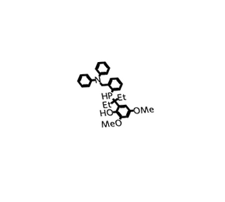 CCC(CC)(Pc1ccccc1CN(c1ccccc1)c1ccccc1)c1cc(OC)cc(OC)c1O